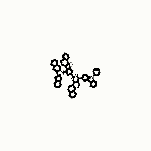 CCC1C(c2ccc3ccccc3c2)=NC(c2cc(-n3c4cc5ccccc5cc4c4cc5ccccc5cc43)c3c(c2)oc2c4ccccc4ccc23)=NC1c1ccc2c(c1)c1ccccc1n2C1C=CC=CC1